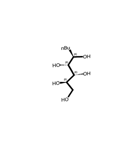 CCCC[C@@H](O)[C@@H](O)[C@H](O)[C@H](O)CO